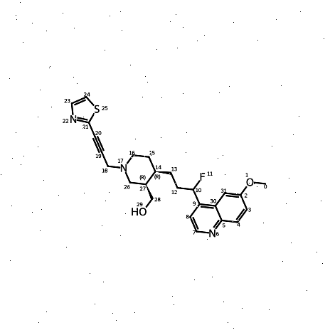 COc1ccc2nccc(C(F)CC[C@@H]3CCN(CC#Cc4nccs4)C[C@@H]3CO)c2c1